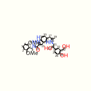 COc1cccc(OC)c1CNC(=O)c1cc2cc(C[C@@H](C)NC[C@@H](O)c3ccc(O)c(CO)c3)ccc2[nH]1